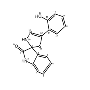 O=C1Nc2ccccc2C12NN=C(c1ccccc1O)S2